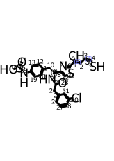 C/C(=C\C=C/S)c1nc([C@H](Cc2ccc(NS(=O)O)cc2)NC(=O)Cc2cc#cc(Cl)c2)cs1